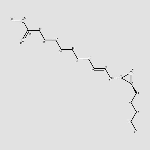 CCCCC[C@@H]1O[C@H]1CC=CCCCCCCCC(=O)OC